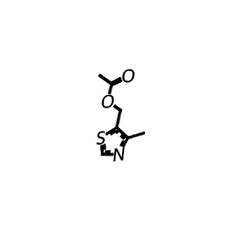 CC(=O)OCc1scnc1C